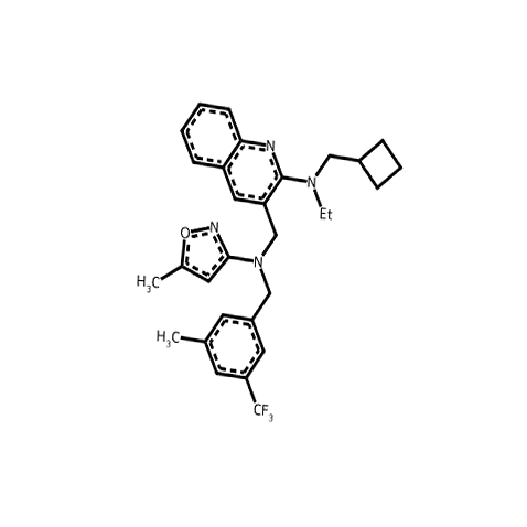 CCN(CC1CCC1)c1nc2ccccc2cc1CN(Cc1cc(C)cc(C(F)(F)F)c1)c1cc(C)on1